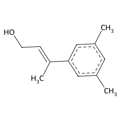 C/C(=C\CO)c1cc(C)cc(C)c1